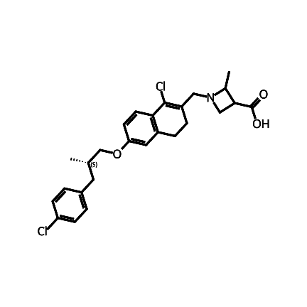 CC1C(C(=O)O)CN1CC1=C(Cl)c2ccc(OC[C@@H](C)Cc3ccc(Cl)cc3)cc2CC1